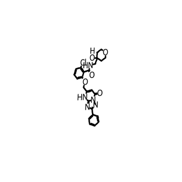 O=C(NCC1(O)CCOCC1)c1c(Cl)cccc1OCc1cc(=O)n2nc(-c3ccccc3)nc2[nH]1